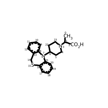 CC(C(=O)O)N1CCC(N2c3ccccc3CSc3ccccc32)CC1